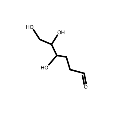 O=CCCC(O)C(O)CO